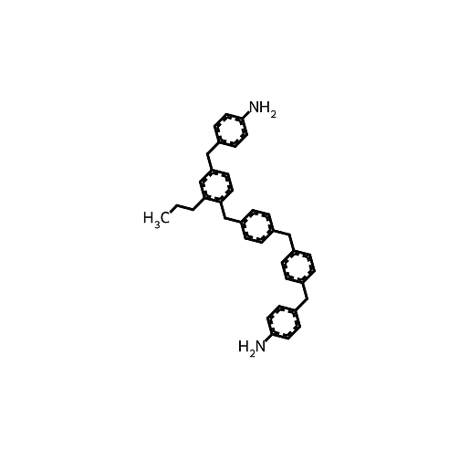 CCCc1cc(Cc2ccc(N)cc2)ccc1Cc1ccc(Cc2ccc(Cc3ccc(N)cc3)cc2)cc1